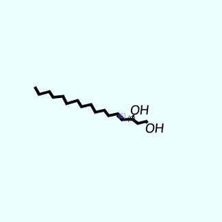 CCCCCCCCCCCC/C=C/[C@@H](O)CCO